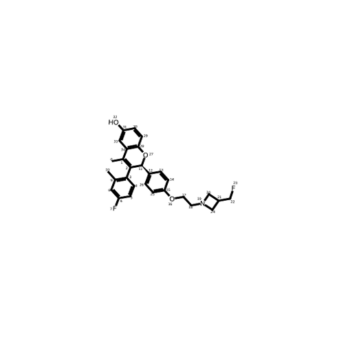 CC1=C(c2ccc(F)cc2C)[C@H](c2ccc(OCCN3CC(CF)C3)cc2)Oc2ccc(O)cc21